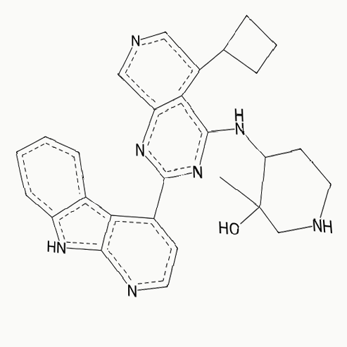 CC1(O)CNCCC1Nc1nc(-c2ccnc3[nH]c4ccccc4c23)nc2cncc(C3CCC3)c12